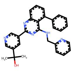 CC(C)(O)c1cncc(-c2nc(NCc3ccccn3)c3c(-c4ccccc4)cccc3n2)c1